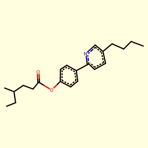 CCCCc1ccc(-c2ccc(OC(=O)CCC(C)CC)cc2)nc1